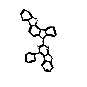 c1ccc(-c2nc(-n3c4ccccc4c4c5sc6ccccc6c5ccc43)nc3sc4ccccc4c23)cc1